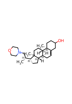 C[C@H](CN1CCOCC1)[C@H]1CC[C@H]2[C@@H]3CC=C4CC(O)CC[C@]4(C)[C@H]3CC[C@]12C